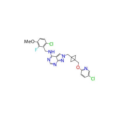 COc1ccc(Cl)c(CNc2ncnc3nn(CC45CC4(COc4ccc(Cl)cn4)C5)cc23)c1F